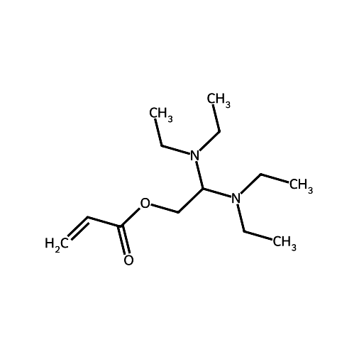 C=CC(=O)OCC(N(CC)CC)N(CC)CC